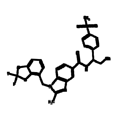 CS(=O)(=O)c1ccc(C(CO)NC(=O)c2ccc3c(c2)nc(C(F)(F)F)n3Cc2cccc3c2OC(F)(F)O3)cc1